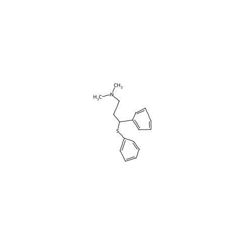 CN(C)CCC(Sc1ccccc1)c1ccccc1